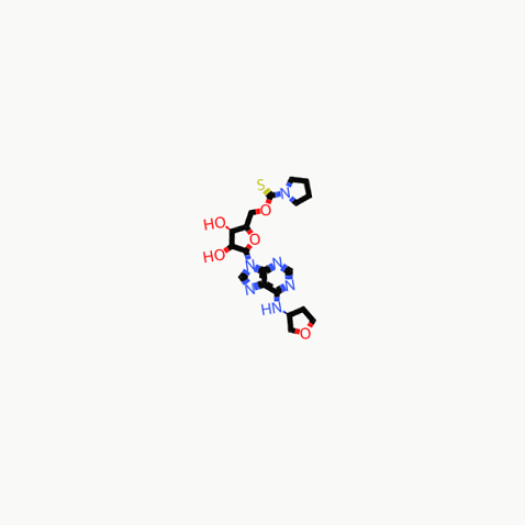 OC1C(n2cnc3c(N[C@@H]4CCOC4)ncnc32)OC(COC(=S)N2CCCC2)[C@H]1O